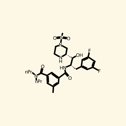 CCCN(CCC)C(=O)c1cc(C)cc(C(=O)N[C@@H](Cc2cc(F)cc(F)c2)C(O)[C@H]2CN(S(C)(=O)=O)CCN2)c1